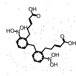 O=C(O)C=CCCc1c(Cc2cccc(N(O)O)c2CCC=CC(=O)O)cccc1N(O)O